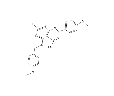 COc1ccc(COc2nc(S)nc(OCc3ccc(OC)cc3)c2C(=O)O)cc1